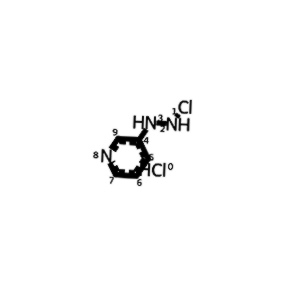 Cl.ClNNc1cccnc1